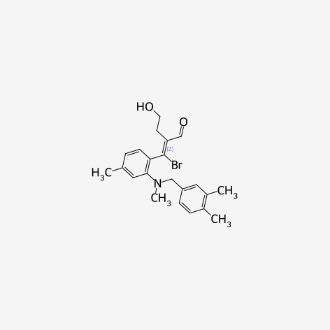 Cc1ccc(/C(Br)=C(/C=O)CCO)c(N(C)Cc2ccc(C)c(C)c2)c1